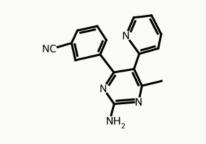 Cc1nc(N)nc(-c2cccc(C#N)c2)c1-c1ccccn1